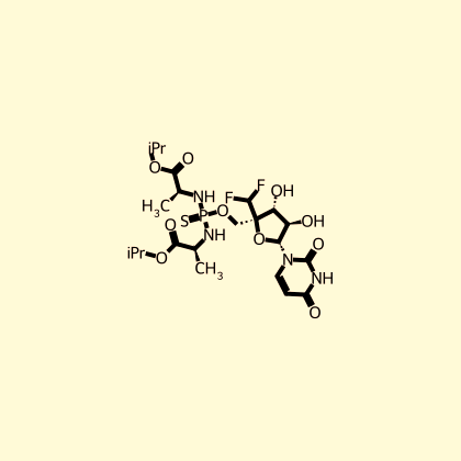 CC(C)OC(=O)[C@H](C)NP(=S)(N[C@@H](C)C(=O)OC(C)C)OC[C@@]1(C(F)F)O[C@@H](n2ccc(=O)[nH]c2=O)[C@H](O)[C@H]1O